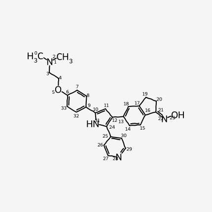 CN(C)CCOc1ccc(-c2cc(-c3ccc4c(c3)CC/C4=N\O)c(-c3ccncc3)[nH]2)cc1